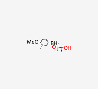 COc1ccc(BOC(C)(C)C(C)(C)O)cc1C